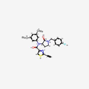 C#Cc1nc(C(=O)N(c2cc(OC)cc(OC)c2)C2CCN(Cc3ccc(F)cc3)C2=O)cs1